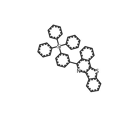 c1ccc([Si](c2ccccc2)(c2ccccc2)c2cccc(-c3nc4c5ccccc5sc4c4ccccc34)c2)cc1